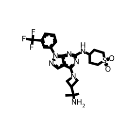 CC(C)(N)C1CN(c2nc(NC3CCS(=O)(=O)CC3)nc3c2cnn3-c2cccc(C(F)(F)F)c2)C1